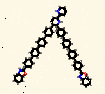 c1ccc(-c2ccc(-c3ccc(-c4ccc(-c5ccc(-c6ccc(-c7nc8ccccc8o7)cc6)cc5)cc4)cc3)c(-c3ccc(-c4ccc(-c5ccc(-c6ccc(-c7nc8ccccc8o7)cc6)cc5)cc4)cc3)n2)nc1